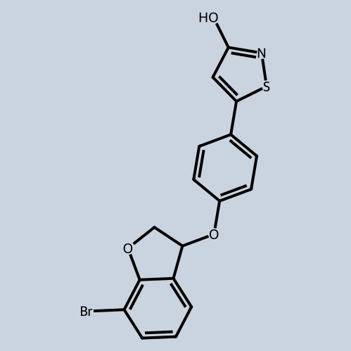 Oc1cc(-c2ccc(OC3COc4c(Br)cccc43)cc2)sn1